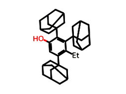 CCc1c(C23CC4CC(CC(C4)C2)C3)cc(O)c(C23CC4CC(CC(C4)C2)C3)c1C12CC3CC(CC(C3)C1)C2